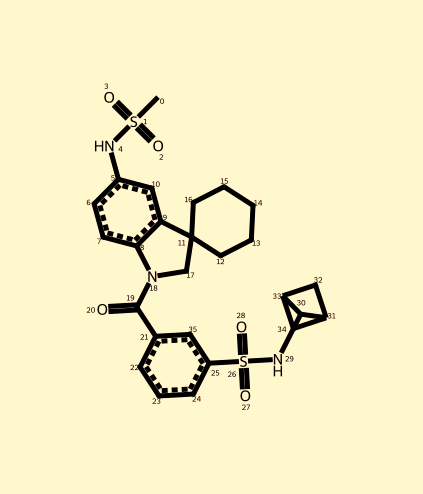 CS(=O)(=O)Nc1ccc2c(c1)C1(CCCCC1)CN2C(=O)c1cccc(S(=O)(=O)NC2C3CC2C3)c1